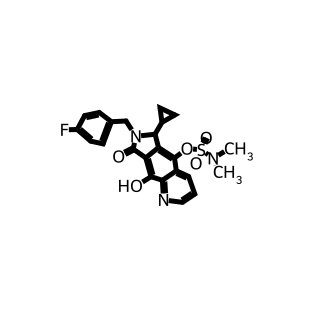 CN(C)S(=O)(=O)Oc1c2c(c(O)c3ncccc13)C(=O)N(Cc1ccc(F)cc1)C2C1CC1